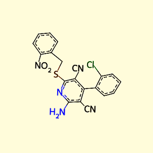 N#Cc1c(N)nc(SCc2ccccc2[N+](=O)[O-])c(C#N)c1-c1ccccc1Cl